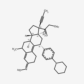 CC#C[C@]1(C(=O)COC(C)=O)CC[C@H]2[C@@H]3CC(C)C4=CC(=NO)CCC4=C3[C@@H](c3ccc(N4CCCCC4)cc3)C[C@@]21C